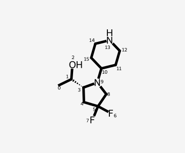 CC(O)[C@H]1CC(F)(F)CN1C1CCNCC1